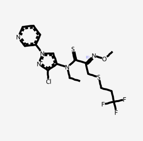 CCN(C(=S)/C(CSCCC(F)(F)F)=N/OC)c1cn(-c2cccnc2)nc1Cl